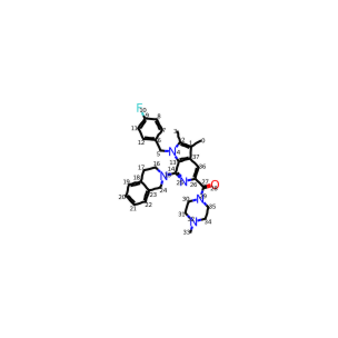 Cc1c(C)n(Cc2ccc(F)cc2)c2c(N3CCc4ccccc4C3)nc(C(=O)N3CCN(C)CC3)cc12